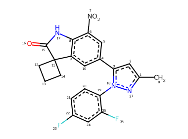 Cc1cc(-c2cc([N+](=O)[O-])c3c(c2)C2(CCC2)C(=O)N3)n(-c2ccc(F)cc2F)n1